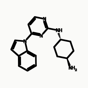 N[C@H]1CC[C@H](Nc2nccc(-n3ccc4ccccc43)n2)CC1